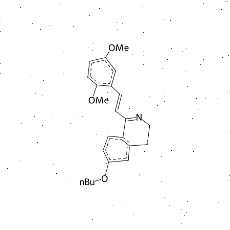 CCCCOc1ccc2c(c1)CCN=C2C=Cc1cc(OC)ccc1OC